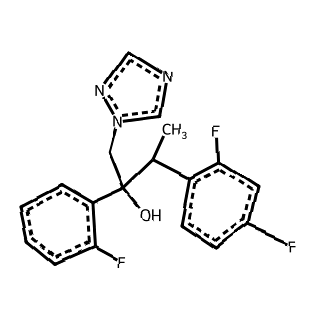 CC(c1ccc(F)cc1F)C(O)(Cn1cncn1)c1ccccc1F